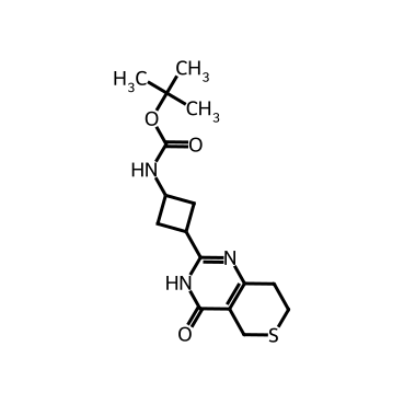 CC(C)(C)OC(=O)NC1CC(c2nc3c(c(=O)[nH]2)CSCC3)C1